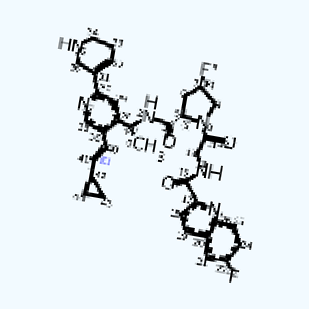 C[C@H](NC(=O)[C@@H]1C[C@@H](F)CN1C(=O)CNC(=O)c1ccc2cc(F)ccc2n1)c1cc(C2=CCCNC2)ncc1/C=C/C1CC1